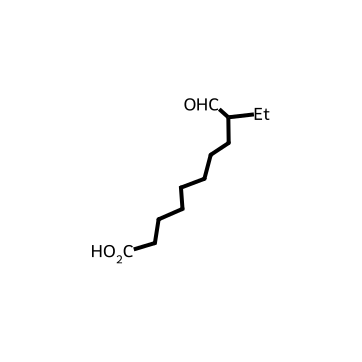 CCC(C=O)CCCCCCCC(=O)O